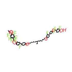 C=CC(CCCCCCCOc1ccc(-c2ccc(OC(F)(F)c3ccc(O)c(F)c3)cc2)c(F)c1)CCCCCCCOc1ccc(-c2ccc(OC(F)(F)c3c(F)c(F)c(OCC)c(F)c3F)cc2)c(F)c1